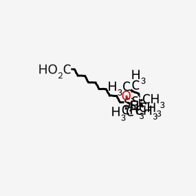 CC1(C)C[Si](C)(C)[Si](C)(C)[Si](C)(CCCCCCCCCCC(=O)O)O1